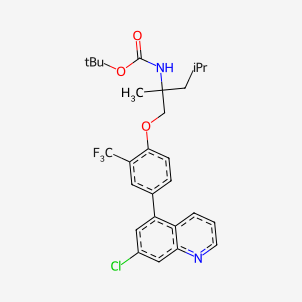 CC(C)CC(C)(COc1ccc(-c2cc(Cl)cc3ncccc23)cc1C(F)(F)F)NC(=O)OC(C)(C)C